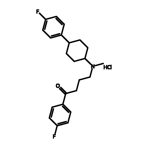 CN(CCCC(=O)c1ccc(F)cc1)C1CCC(c2ccc(F)cc2)CC1.Cl